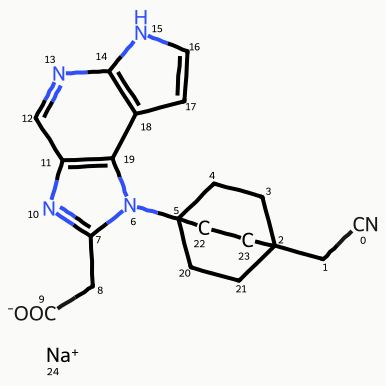 N#CCC12CCC(n3c(CC(=O)[O-])nc4cnc5[nH]ccc5c43)(CC1)CC2.[Na+]